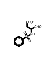 O=CC(CC(=O)O)NS(=O)(=O)c1ccccc1